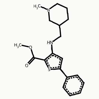 COC(=O)c1sc(-c2ccccc2)cc1NCC1CCCN(C)C1